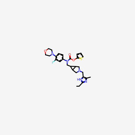 CCc1nc(C)c(CN2CC3C(C2)C3CN(C(=O)Oc2cccs2)c2ccc(N3CCOCC3)c(F)c2)[nH]1